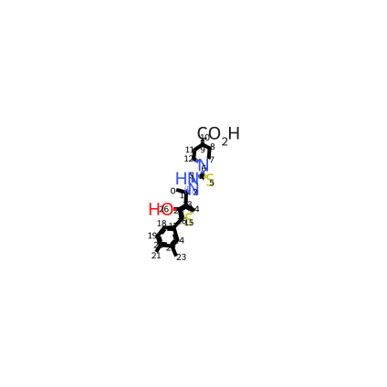 C/C(=N\NC(=S)N1CCC(C(=O)O)CC1)c1csc(-c2ccc(C)c(C)c2)c1O